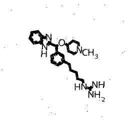 CN1CCC(OC(c2cccc(CCCCCNC(=N)N)c2)c2nc3ccccc3[nH]2)CC1